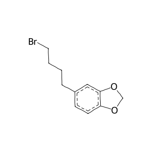 BrCCCCc1ccc2c(c1)OCO2